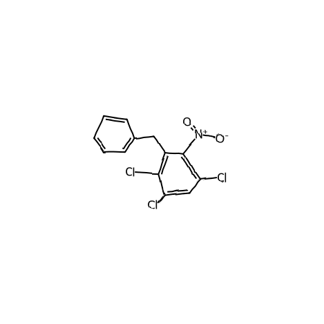 O=[N+]([O-])c1c(Cl)cc(Cl)c(Cl)c1Cc1ccccc1